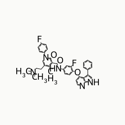 Cc1c(CCN(C)C)cn(-c2ccc(F)cc2)c(=O)c1C(=O)Nc1ccc(Oc2ccnc3[nH]cc(-c4ccccc4)c23)c(F)c1